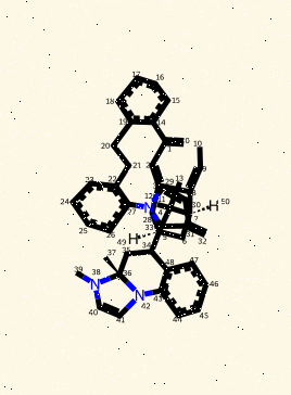 C=C(/C=C1/C[C@@H]2C[C@H](/C1=C/C)C2(C)C)c1ccccc1CCc1ccccc1N1C=CC(=C)C1C1C[C@@]2(C)N(C)C=CN2c2ccccc21